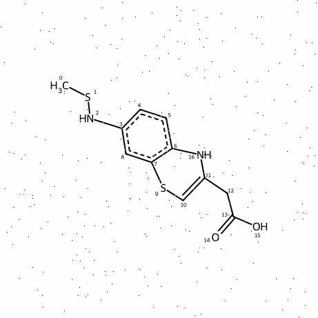 CSNc1ccc2c(c1)SC=C(CC(=O)O)N2